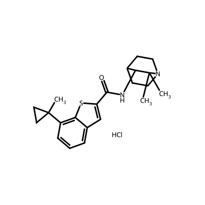 CC1(c2cccc3cc(C(=O)NC4C5CCN(CC5)C4(C)C)sc23)CC1.Cl